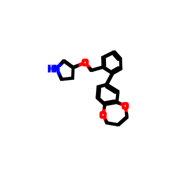 c1ccc(-c2ccc3c(c2)OCCCO3)c(COC2CCNC2)c1